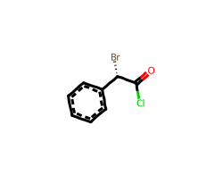 O=C(Cl)[C@@H](Br)c1ccccc1